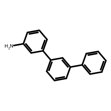 Nc1cccc(-c2cccc(-c3ccccc3)c2)c1